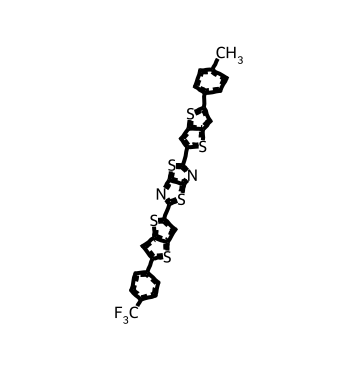 Cc1ccc(-c2cc3sc(-c4nc5sc(-c6cc7sc(-c8ccc(C(F)(F)F)cc8)cc7s6)nc5s4)cc3s2)cc1